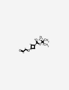 CC(C)(C)OC(=O)[C@H]1C[C@@H](OCC=O)C1